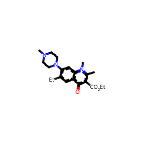 CCOC(=O)c1c(C)n(C)c2cc(N3CCN(C)CC3)c(CC)cc2c1=O